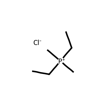 CC[P+](C)(C)CC.[Cl-]